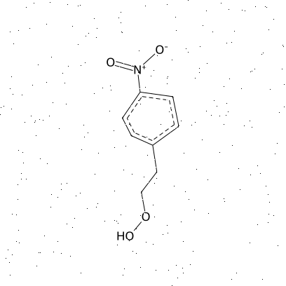 O=[N+]([O-])c1ccc(CCOO)cc1